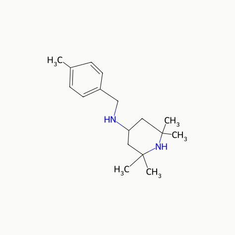 Cc1ccc(CNC2CC(C)(C)NC(C)(C)C2)cc1